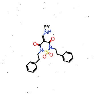 CC(C)NC=C1C(=O)N(CCc2ccccc2)S(=O)(=O)N(CCc2ccccc2)C1=O